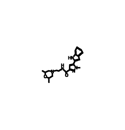 CC1CN(CCNC(=O)c2cc(-c3cc4ccccc4[nH]3)n(C)n2)CC(C)O1